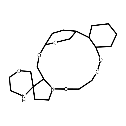 C1CCN2CCC3(COCCN3)C2COC2CCC(CC2)C2CCCCC2OC1